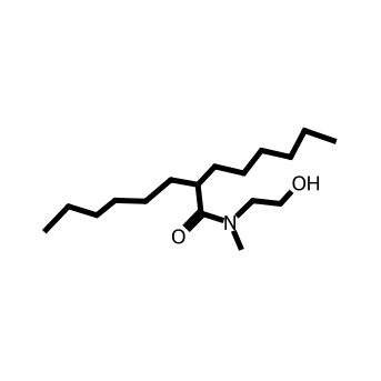 CCCCCCC(CCCCCC)C(=O)N(C)CCO